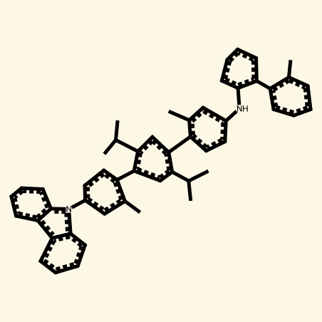 Cc1ccccc1-c1ccccc1Nc1ccc(-c2cc(C(C)C)c(-c3ccc(-n4c5ccccc5c5ccccc54)cc3C)cc2C(C)C)c(C)c1